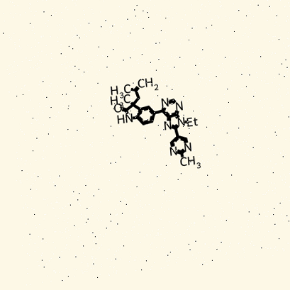 C=C(C)CC1(C)C(=O)Nc2ccc(-c3ncnc4c3nc(-c3cnc(C)nc3)n4CC)cc21